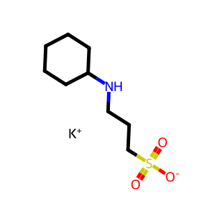 O=S(=O)([O-])CCCNC1CCCCC1.[K+]